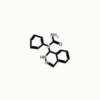 NC(=O)N(c1ccccc1)C1NN=Cc2ccccc21